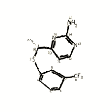 C[C@@H](Sc1cccc(C(F)(F)F)c1)c1ccnc(N)n1